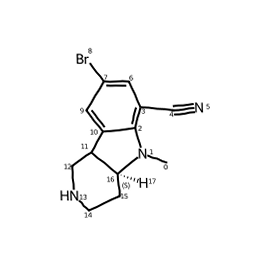 CN1c2c(C#N)cc(Br)cc2C2CNCC[C@@H]21